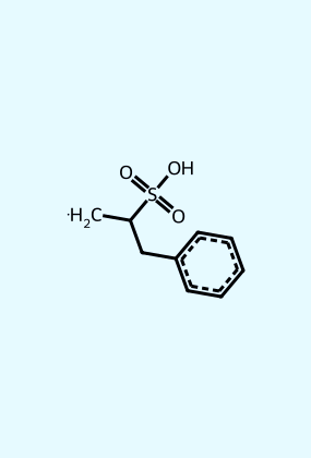 [CH2]C(Cc1ccccc1)S(=O)(=O)O